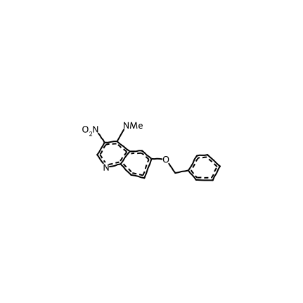 CNc1c([N+](=O)[O-])cnc2ccc(OCc3ccccc3)cc12